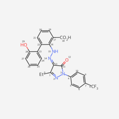 CCC1=NN(c2ccc(C(F)(F)F)cc2)C(=O)C1=NNc1c(C(=O)O)cccc1-c1ccccc1O